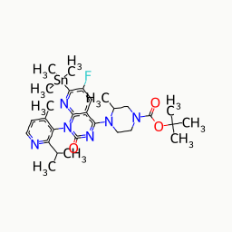 Cc1ccnc(C(C)C)c1-n1c(=O)nc(N2CCN(C(=O)OC(C)(C)C)CC2C)c2cc(F)[c]([Sn]([CH3])([CH3])[CH3])nc21